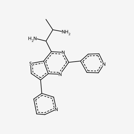 CC(N)C(N)c1nc(-c2ccncc2)nc2c(-c3cccnc3)csc12